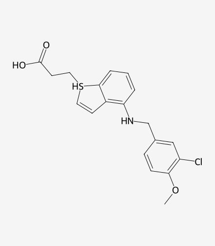 COc1ccc(CNc2cccc3c2C=C[SH]3CCC(=O)O)cc1Cl